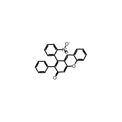 O=c1cc2oc3ccccc3cc-2c(-c2ccccc2[N+](=O)[O-])c1-c1ccccc1